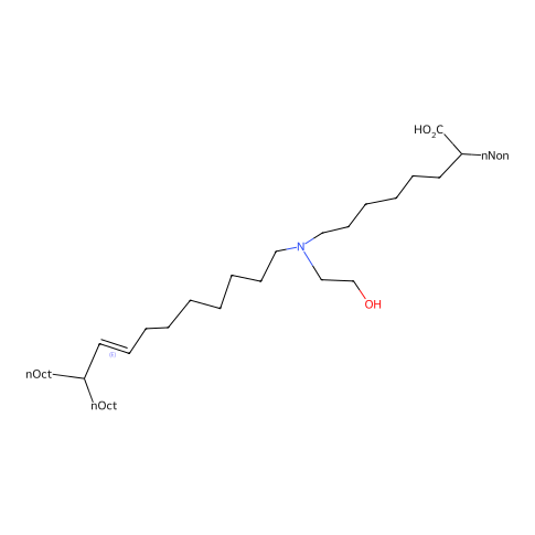 CCCCCCCCCC(CCCCCCN(CCO)CCCCCCC/C=C/C(CCCCCCCC)CCCCCCCC)C(=O)O